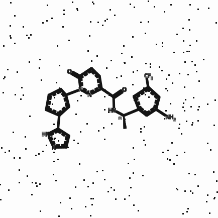 C[C@@H](NC(=O)c1ccc(=O)n(-c2cccc(-c3ccn[nH]3)c2)n1)c1cc(N)cc(C(F)(F)F)c1